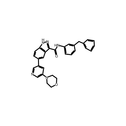 O=C(Nc1cccc(Cc2ccccc2)c1)c1n[nH]c2ccc(-c3cncc(N4CCOCC4)c3)cc12